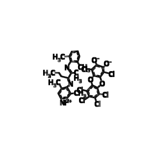 CCCC(=Nc1c(C)cccc1C)C(C)=Nc1c(C)cccc1C.[Ni+2].[O-]c1c([O-])c(Cl)c2c(c1Cl)Oc1c(Cl)c(Cl)c(Cl)c(Cl)c1O2